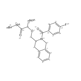 CCCCCCCCCC(OCC1Cc2ccccc2CN1C(=O)c1ccc(F)cc1)C(=O)NCCCC